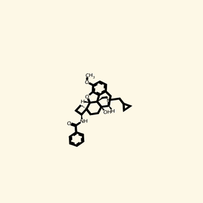 COc1ccc2c3c1O[C@H]1[C@@]4(CC[C@@H]4NC(=O)c4ccccc4)CC[C@@]4(O)[C@@H](C2)N(CC2CC2)CC[C@]314